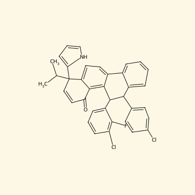 CC(C)C1(c2ccc[nH]2)C=CC(=O)c2c1ccc1c2C(c2cccc(Cl)c2F)C(c2ccc(Cl)cc2)c2ccccc2-1